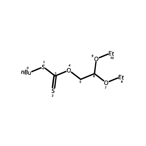 CCCCSC(=S)OCC(OCC)OCC